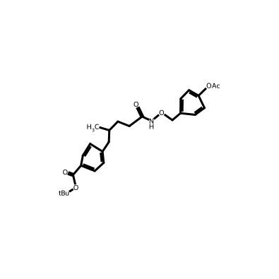 CC(=O)Oc1ccc(CONC(=O)CCC(C)Cc2ccc(C(=O)OC(C)(C)C)cc2)cc1